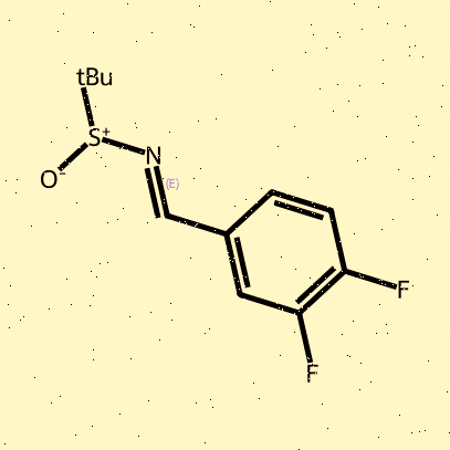 CC(C)(C)[S+]([O-])/N=C/c1ccc(F)c(F)c1